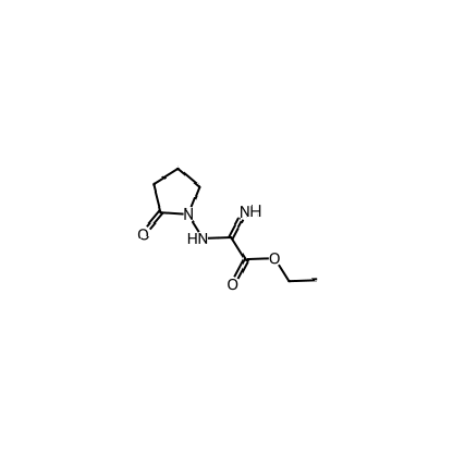 CCOC(=O)C(=N)NN1CCCC1=O